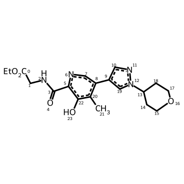 CCOC(=O)CNC(=O)c1ncc(-c2cnn(C3CCOCC3)c2)c(C)c1O